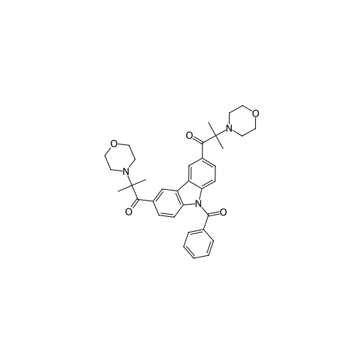 CC(C)(C(=O)c1ccc2c(c1)c1cc(C(=O)C(C)(C)N3CCOCC3)ccc1n2C(=O)c1ccccc1)N1CCOCC1